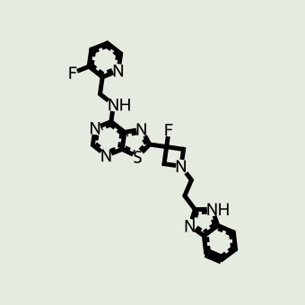 Fc1cccnc1CNc1ncnc2sc(C3(F)CN(CCc4nc5c#cccc5[nH]4)C3)nc12